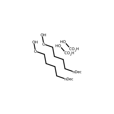 CCCCCCCCCCCCCCOO.CCCCCCCCCCCCCCOO.O=C(O)O.O=C(O)O